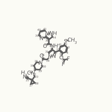 CSc1ccc(OC(F)F)c(-c2nn(CC(=O)N3CCC(N(C)CC4(C#N)CC4)CC3)cc2NC(=O)C2=C3N=CC=CN3NC2)c1